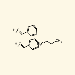 C=Cc1ccccc1.C=Cc1ccccc1.CCCC